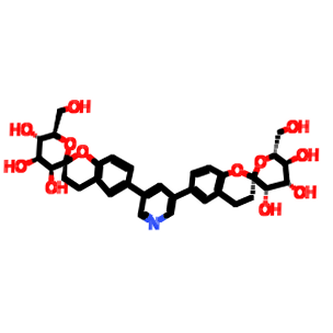 OC[C@H]1O[C@@]2(CCc3cc(-c4cncc(-c5ccc6c(c5)CC[C@]5(O6)O[C@H](CO)[C@@H](O)[C@H](O)[C@@H]5O)c4)ccc3O2)[C@@H](O)[C@@H](O)[C@@H]1O